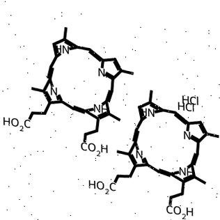 CC1=Cc2cc3[nH]c(cc4nc(cc5[nH]c(cc1n2)c(C)c5CCC(=O)O)C(CCC(=O)O)=C4C)cc3C.CC1=Cc2cc3[nH]c(cc4nc(cc5[nH]c(cc1n2)c(C)c5CCC(=O)O)C(CCC(=O)O)=C4C)cc3C.Cl.Cl